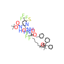 CSc1nc(C(=O)NNC(=O)[C@@](CCCCC[C@@H](C)O[Si](c2ccccc2)(c2ccccc2)C(C)(C)C)(OCc2ccccc2)C(F)(F)F)c(NC(=O)OC(C)(C)C)cc1C(F)(F)F